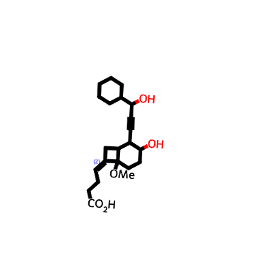 COC12CCC(O)C(C#CC(O)C3CCCCC3)C1C/C2=C/CCC(=O)O